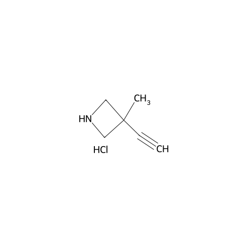 C#CC1(C)CNC1.Cl